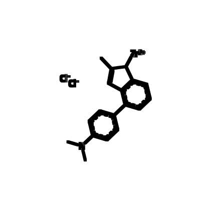 CC1=Cc2c(-c3ccc(N(C)C)cc3)cccc2[CH]1[Zr+2].[Cl-].[Cl-]